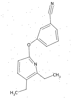 CCc1ccc(Oc2cccc(C#N)c2)nc1CC